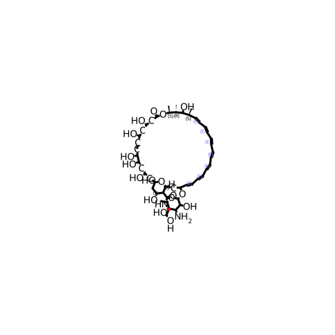 CC1OC(OC2/C=C/C=C/C=C/C=C/C=C/C=C/C=C/[C@H](C)C(O)[C@@H](C)[C@H](C)OC(=O)CC(O)CC(O)CCC(O)C(O)CC(O)CC3(O)C[C@H](O)C(C(=O)NCCO)[C@H](C2)O3)C(O)C(N)C1O